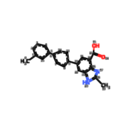 Cc1cccc(-c2ccc(-c3cc(C(=O)O)c4nc(C)[nH]c4c3)cc2)c1